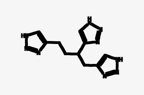 c1[nH]nnc1CCC(Cc1c[nH]nn1)c1c[nH]nn1